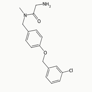 CN(Cc1ccc(OCc2cccc(Cl)c2)cc1)C(=O)CN